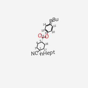 CCCCCCC[C@]1(C#N)CC[C@H](C(=O)Oc2ccc(CCCC)cc2)CC1